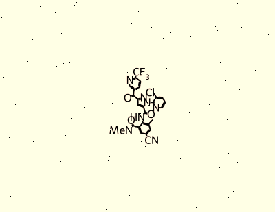 CNC(=O)c1cc(C#N)cc(C)c1NC(=O)c1cc(C(=O)c2ccc(C(F)(F)F)nc2)nn1-c1ncccc1Cl